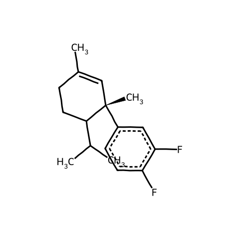 CC1=C[C@](C)(c2ccc(F)c(F)c2)C(C(C)C)CC1